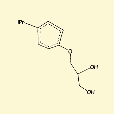 CC(C)c1ccc(OCC(O)CO)cc1